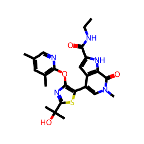 CCNC(=O)c1cc2c(-c3sc(C(C)(C)O)nc3Oc3ncc(C)cc3C)cn(C)c(=O)c2[nH]1